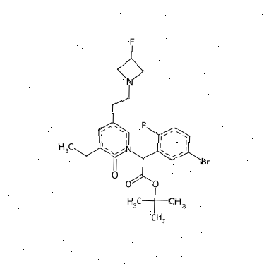 CCc1cc(CCN2CC(F)C2)cn(C(C(=O)OC(C)(C)C)c2cc(Br)ccc2F)c1=O